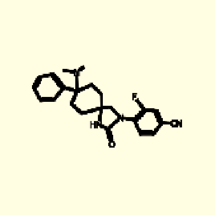 CN(C)C1(c2ccccc2)CCC2(CC1)CN(c1ccc(C#N)cc1F)C(=O)N2